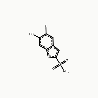 NS(=O)(=O)c1cc2cc(Cl)c(O)cc2s1